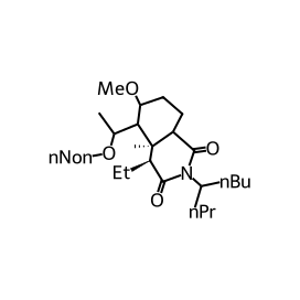 CCCCCCCCCOC(C)C1C(OC)CCC2C(=O)N(C(CCC)CCCC)C(=O)[C@@H](CC)[C@]21C